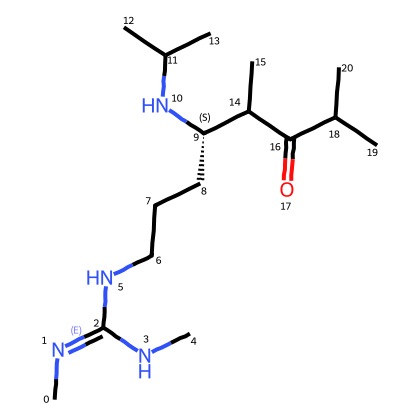 C/N=C(\NC)NCCC[C@H](NC(C)C)C(C)C(=O)C(C)C